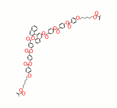 C=C(C)C(=O)OCCCCCCOc1ccc(C(=O)Oc2ccc(C(=O)Oc3ccc(C(=O)Oc4cc(-c5c(OC(=O)c6ccc(OC(=O)c7ccc(OC(=O)c8ccc(OCCCCCCOC(=O)C(=C)C)cc8)cc7)cc6)ccc6ccccc56)c5ccccc5c4)cc3)cc2)cc1